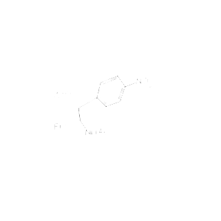 CC[C@@H](NC(C)=O)[C@H](OC(C)=O)c1ccc([N+](=O)[O-])cc1